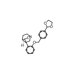 [c]1ccc([C@@H]2CN3CCC2CC3)c(OCc2ccc(C3OCCO3)cc2)c1